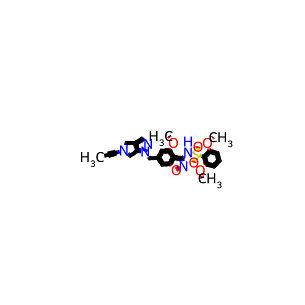 CC#CN1Cc2cnn(Cc3cc(OC)c4c(NS(=O)(=O)c5c(OC)cccc5OC)noc4c3)c2C1